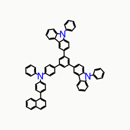 c1ccc(N(c2ccc(-c3cc(-c4ccc5c(c4)c4ccccc4n5-c4ccccc4)cc(-c4ccc5c(c4)c4ccccc4n5-c4ccccc4)c3)cc2)c2ccc(-c3cccc4ccccc34)cc2)cc1